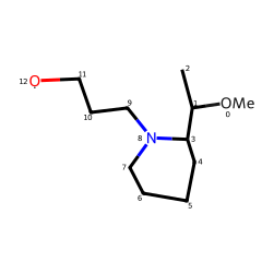 COC(C)C1CCCCN1CCC[O]